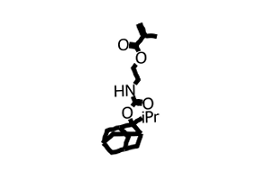 C=C(C)C(=O)OCCNC(=O)OC1(C(C)C)C2CC3CC(C2)CC1C3